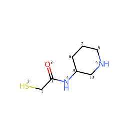 O=C(CS)NC1CCCNC1